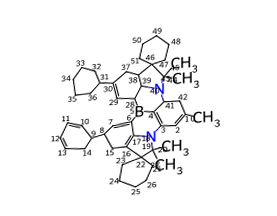 CC1=CC2=C3B(C4=CC(C5C=CC=CC5)CC5=C4N2C(C)(C)C52CCCCC2)C2C=C(C4CCCCC4)CC4C2N(C3C1)C(C)(C)C41CCCCC1